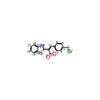 O=c1oc2cc(CBr)ccc2cc1-c1nc2ccccc2s1